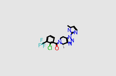 Cc1ccnc(-n2nnc3c2CCN(C(=O)c2cccc(C(F)(F)F)c2Cl)[C@H]3C)n1